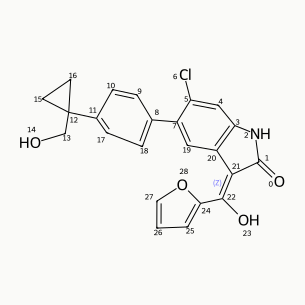 O=C1Nc2cc(Cl)c(-c3ccc(C4(CO)CC4)cc3)cc2/C1=C(/O)c1ccco1